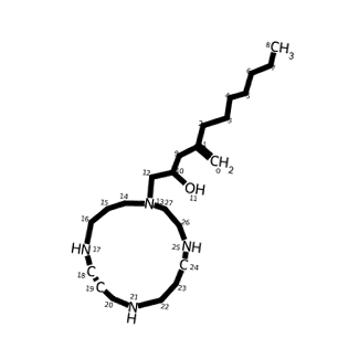 C=C(CCCCCCC)CC(O)CN1CCCNCCCNCCCNCC1